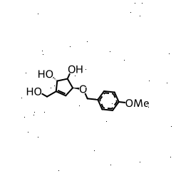 COc1ccc(CO[C@H]2C=C(CO)[C@H](O)C2O)cc1